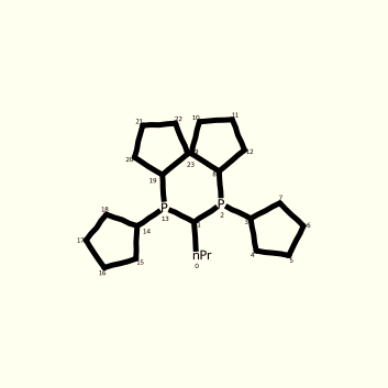 CCCC(P(C1CCCC1)C1CCCC1)P(C1CCCC1)C1CCCC1